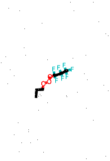 CCCOOOC(F)(F)C(F)(F)C(F)(F)F